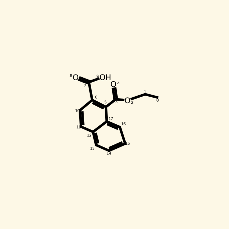 CCOC(=O)c1c(C(=O)O)ccc2ccccc12